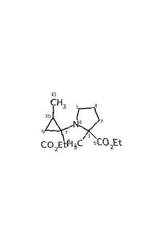 CCOC(=O)C1(C)CCCN1C1(C(=O)OCC)CC1C